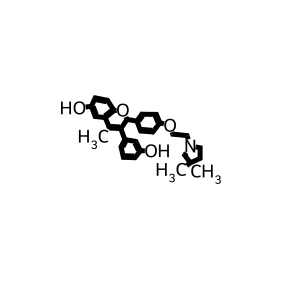 CC1=C(c2cccc(O)c2)C(c2ccc(OCCN3CCC(C)(C)C3)cc2)Oc2ccc(O)cc21